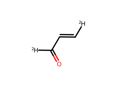 [2H]C=CC([2H])=O